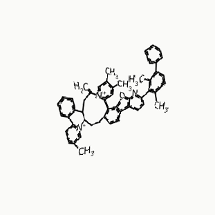 C=C1CC2c3ccccc3-c3ccc(C)c[n+]3C2CCc2ccc3c(oc4nc(-c5c(C)ccc(-c6ccccc6)c5C)ccc43)c2-c2cc(C)c(C)c[n+]21